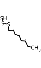 CC[CH]CCCCCSSS